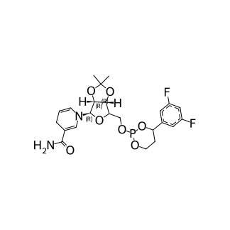 CC1(C)O[C@@H]2[C@H](O1)C(COP1OCCC(c3cc(F)cc(F)c3)O1)O[C@H]2N1C=CCC(C(N)=O)=C1